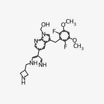 COc1cc(OC)c(F)c(Cc2cn(CO)c3ncc(/C(C=N)=C/NCC4CNC4)cc23)c1F